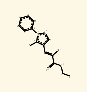 CCOC(=O)/C(F)=C/c1cnn(-c2ccccc2)c1C